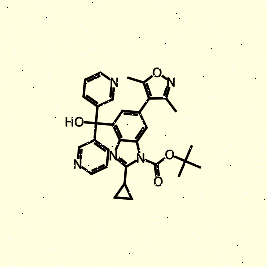 Cc1noc(C)c1-c1cc(C(O)(c2cccnc2)c2cccnc2)c2nc(C3CC3)n(C(=O)OC(C)(C)C)c2c1